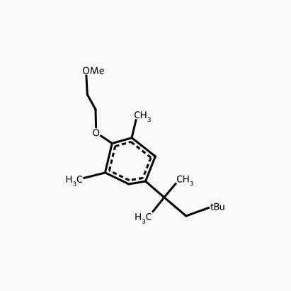 COCCOc1c(C)cc(C(C)(C)CC(C)(C)C)cc1C